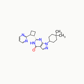 CC1(C)CCC(n2ncc3c(=O)[nH]c([C@H]4CCC4c4ncccn4)nc32)CC1